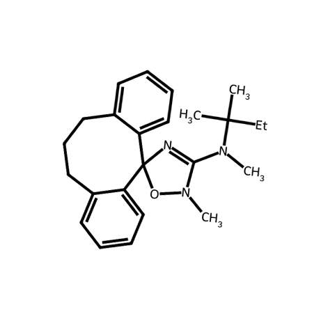 CCC(C)(C)N(C)C1=NC2(ON1C)c1ccccc1CCCc1ccccc12